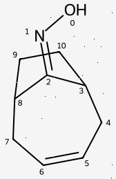 ON=C1C2CC=CCC1CC2